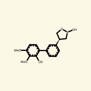 COc1ccc(-c2cccc([C@H]3COB(O)C3)c2)c(C#N)c1OC